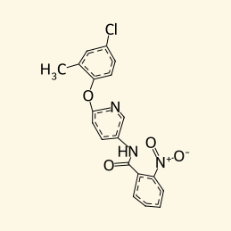 Cc1cc(Cl)ccc1Oc1ccc(NC(=O)c2ccccc2[N+](=O)[O-])cn1